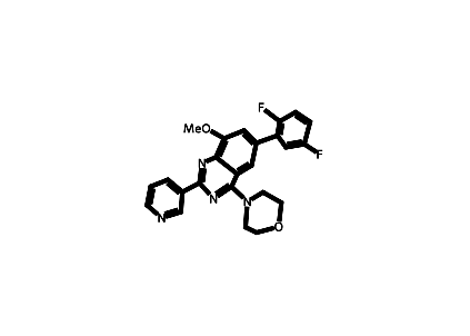 COc1cc(-c2cc(F)ccc2F)cc2c(N3CCOCC3)nc(-c3cccnc3)nc12